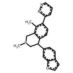 Cc1c(-c2cccnn2)ccc2c1CN(C)CC2c1ccc2ccoc2c1